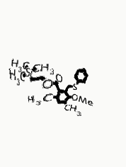 COc1c(C)cc(C)c(C(=O)OCC[Si](C)(C)C)c1CSc1ccccc1